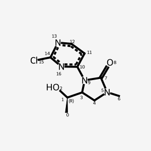 C[C@@H](O)C1CN(C)C(=O)N1c1ccnc(Cl)n1